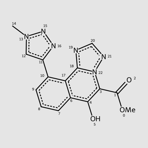 COC(=O)c1c(O)c2cccc(-c3cn(C)nn3)c2c2ncnn12